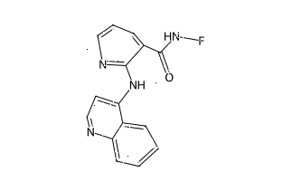 O=C(NF)c1cccnc1Nc1ccnc2ccccc12